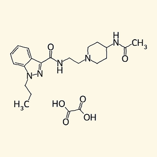 CCCn1nc(C(=O)NCCN2CCC(NC(C)=O)CC2)c2ccccc21.O=C(O)C(=O)O